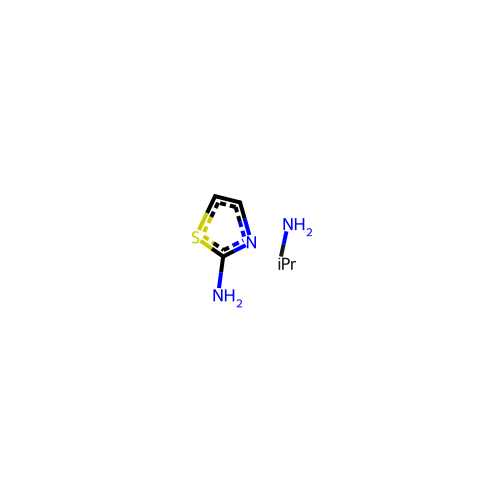 CC(C)N.Nc1nccs1